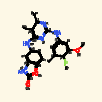 [2H]c1nc(Nc2cc(C)c(F)c(OC)c2)nc(Nc2ccc3oc(=O)[nH]c3c2)c1C